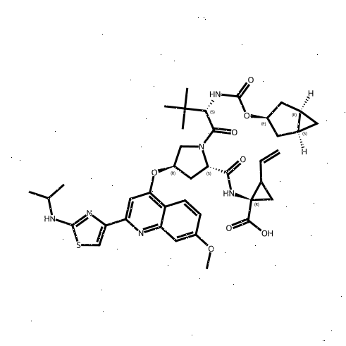 C=CC1C[C@]1(NC(=O)[C@@H]1C[C@@H](Oc2cc(-c3csc(NC(C)C)n3)nc3cc(OC)ccc23)CN1C(=O)[C@@H](NC(=O)O[C@@H]1C[C@@H]2C[C@@H]2C1)C(C)(C)C)C(=O)O